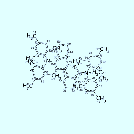 Cc1cc(C)c(N(c2c(C)cc(C)cc2C)c2cc3c4ccccc4c(N(c4c(C)cc(C)cc4C)c4c(C)cc(C)cc4C)cc3c3ccccc23)c(C)c1